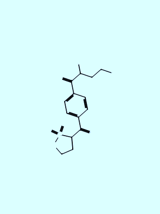 O=C(c1ccc(C(=O)C2CCOS2(=O)=O)cc1)C(CCI)S(=O)(=O)O